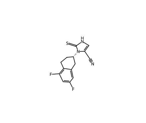 N#Cc1c[nH]c(=S)n1[C@H]1CCc2c(F)cc(F)cc2C1